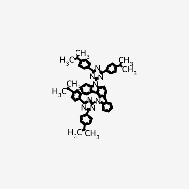 CC(C)c1ccc(-c2nc(-c3ccc(C(C)C)cc3)nc(-n3c4ccccc4c4c3ccc3c5ccccc5n(-c5nc(-c6ccc(C(C)C)cc6)nc(-c6ccc(C(C)C)cc6)n5)c34)n2)cc1